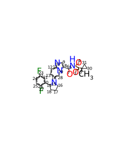 CC1(S(=O)(=O)NC(=O)c2cnc3ccc(N4CCCC4c4cc(F)ccc4F)cn23)CC1